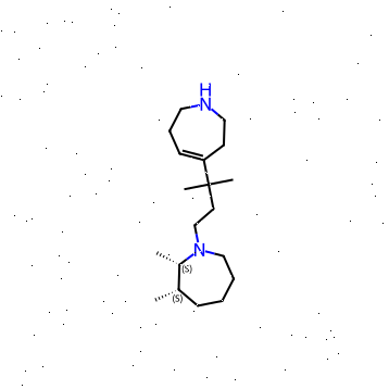 C[C@H]1CCCCN(CCC(C)(C)C2=CCCNCC2)[C@H]1C